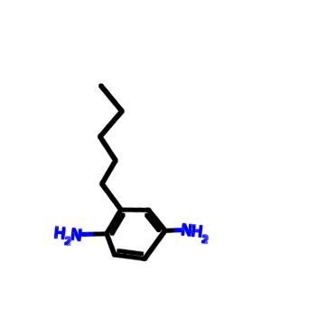 CCCCCc1cc(N)ccc1N